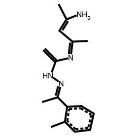 C=C(/N=C(C)\C=C(\C)N)N/N=C(\C)c1ccccc1C